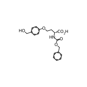 O=C(N[C@@H](CCOc1ccc(CO)cc1)C(=O)O)OCc1ccccc1